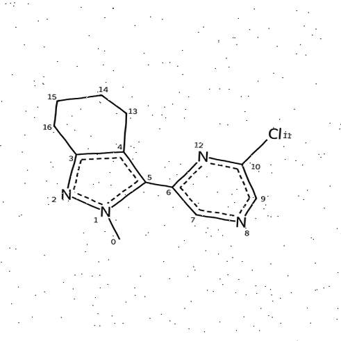 Cn1nc2c(c1-c1cncc(Cl)n1)CCCC2